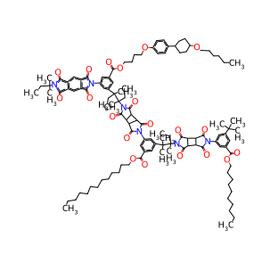 CCCCCCCCCCCCCOC(=O)c1cc(N2C(=O)C3C(C2=O)C2C(=O)N(C(C)(CC)C(C)(CC)c4cc(C(=O)OCCCCOc5ccc(C6CCC(OCCCCCC)CC6)cc5)cc(-n5c(=O)c6cc7c(=O)n(C(C)(C)CC)c(=O)c7cc6c5=O)c4)C(=O)C32)cc(C(C)(C)C(C)(CC)N2C(=O)C3C4C(=O)N(c5cc(C(=O)OCCCCCCCCCC)cc(C(C)(C)C)c5)C(=O)C4C3C2=O)c1